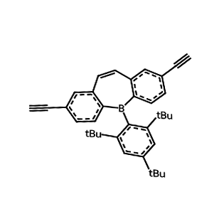 C#Cc1ccc2c(c1)C=Cc1cc(C#C)ccc1B2c1c(C(C)(C)C)cc(C(C)(C)C)cc1C(C)(C)C